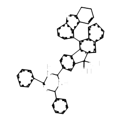 CC1(C)c2cc(C3NC(c4ccccc4)=NC(c4ccccc4)N3)ccc2-c2c1cc1ccccc1c2-c1cccc2sc3c(c12)C=CCC3